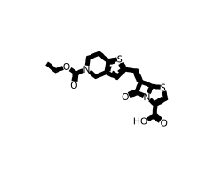 CCOC(=O)N1CCc2sc(C=C3C(=O)N4C(C(=O)O)=CSC34)cc2C1